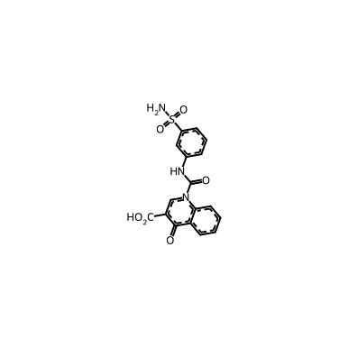 NS(=O)(=O)c1cccc(NC(=O)n2cc(C(=O)O)c(=O)c3ccccc32)c1